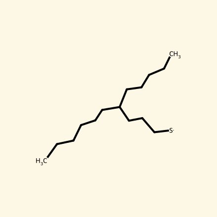 CCCCCCC(CCC[S])CCCCC